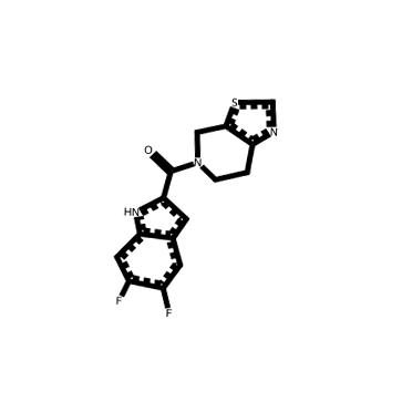 O=C(c1cc2cc(F)c(F)cc2[nH]1)N1CCc2ncsc2C1